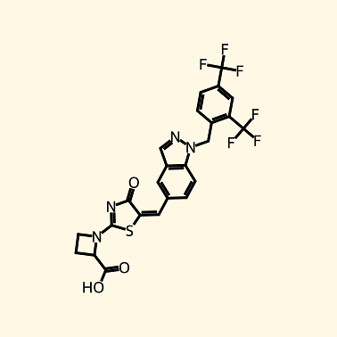 O=C1N=C(N2CCC2C(=O)O)SC1=Cc1ccc2c(cnn2Cc2ccc(C(F)(F)F)cc2C(F)(F)F)c1